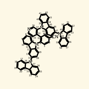 N#Cc1ccc(-n2c3ccccc3c3cc(-n4c5ccccc5c5ccccc54)ccc32)c(-c2ccncc2-n2c3ccccc3c3cc(-n4c5ccccc5c5ccccc54)ccc32)c1